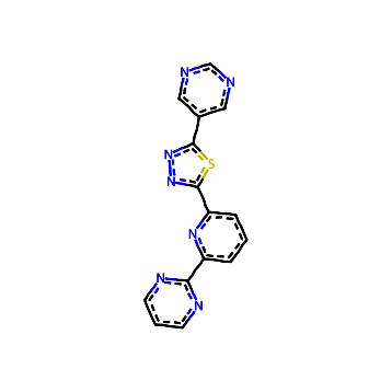 c1cnc(-c2cccc(-c3nnc(-c4cncnc4)s3)n2)nc1